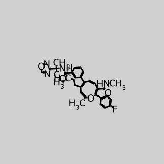 CCCc1cc(C)oc(-c2ccc(F)cc2)c(C(=O)NC)ccc1-c1cccc(C(=O)NC(C)(C)c2ncon2)c1